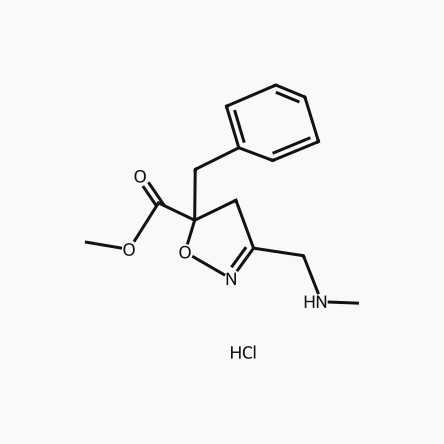 CNCC1=NOC(Cc2ccccc2)(C(=O)OC)C1.Cl